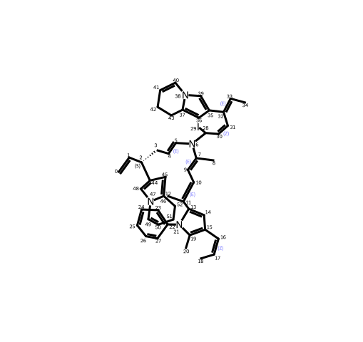 C=C[C@H](C/C=C/N(/C(C)=C/C=C(\C)c1cc(/C=C\C)c(C)n1-c1ccccc1)C(I)/C=C\C(=C/C)c1cc2n(c1)C=CCC2)c1cc2n(c1)C=CCC2